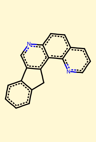 c1ccc2c(c1)Cc1c-2cnc2ccc3cccnc3c12